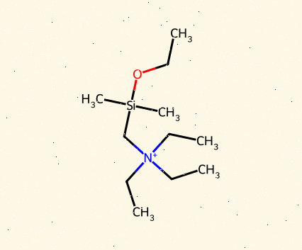 CCO[Si](C)(C)C[N+](CC)(CC)CC